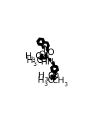 CC(C)(C)Oc1ccc(CNC[C@@H]2OC(C)(C)O[C@H]2C(=O)N2CCc3ccccc3C2)cc1